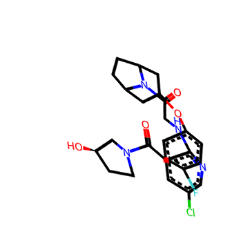 O=C(c1cc(Cl)cnc1NCC(=O)N1C2CCC1CC(Oc1ccc(F)cc1)C2)N1CC[C@@H](O)C1